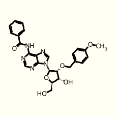 COc1ccc(CO[C@@H]2[C@H](O)[C@@H](CO)O[C@H]2n2cnc3c(NC(=O)c4ccccc4)ncnc32)cc1